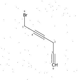 C#CCC#CCBr